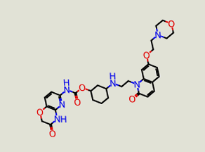 O=C1COc2ccc(NC(=O)OC3CCCC(NCCn4c(=O)ccc5ccc(OCCN6CCOCC6)cc54)C3)nc2N1